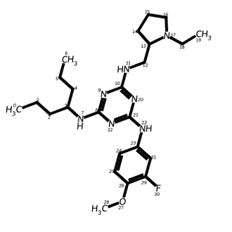 CCCC(CCC)Nc1nc(NCC2CCCN2CC)nc(Nc2ccc(OC)c(F)c2)n1